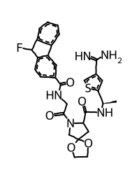 C[C@@H](NC(=O)C1CC2(CN1C(=O)CNC(=O)c1ccc3c(c1)-c1ccccc1C3F)OCCO2)c1cc(C(=N)N)cs1